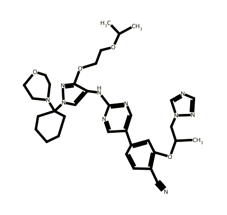 CC(C)OCCOc1nn(C2(N3CCOCC3)CCCCC2)cc1Nc1ncc(-c2ccc(C#N)c(OC(C)Cn3cncn3)c2)cn1